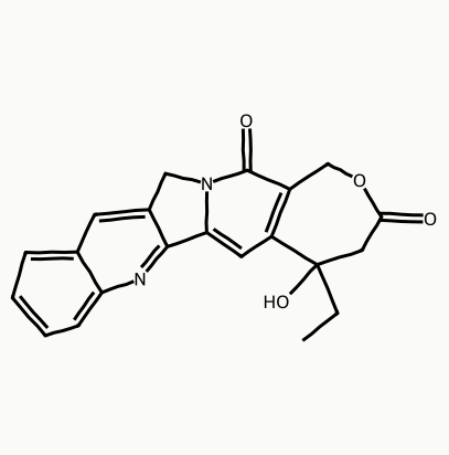 CCC1(O)CC(=O)OCc2c1cc1n(c2=O)Cc2cc3ccccc3nc2-1